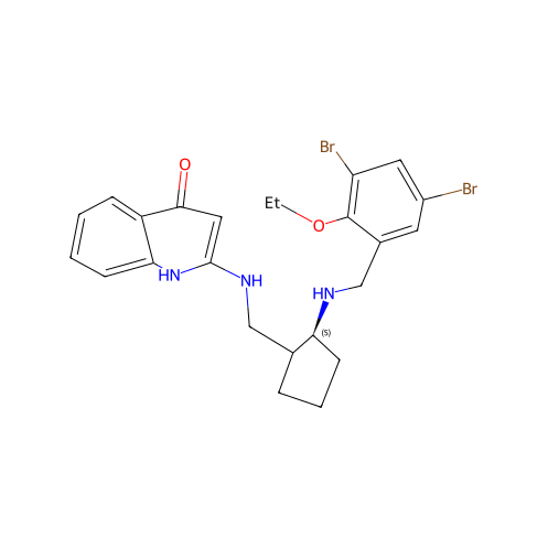 CCOc1c(Br)cc(Br)cc1CN[C@H]1CCCC1CNc1cc(=O)c2ccccc2[nH]1